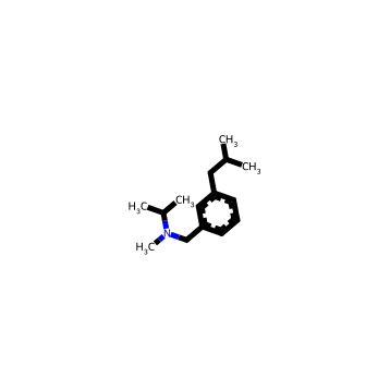 CC(C)Cc1cccc(CN(C)C(C)C)c1